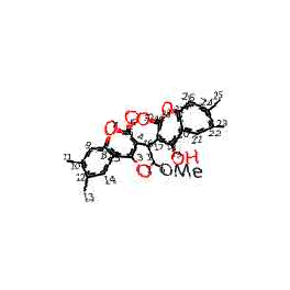 COC1Oc2c(c(=O)oc3cc(C)c(C)cc23)C1c1c(O)c2cc(C)c(C)cc2oc1=O